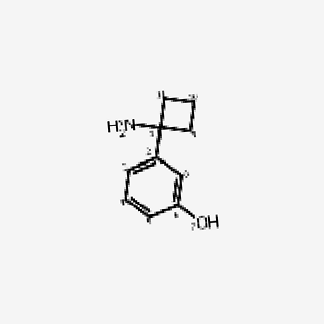 NC1(c2cccc(O)c2)CCC1